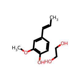 C/C=C/c1ccc(O)c(OC)c1.OCCO